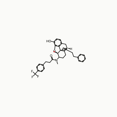 CN(C(=O)CCc1ccc(C(F)(F)F)cc1)C1CC[C@@]2(O)[C@H]3Cc4ccc(O)c5c4[C@@]2(CCN3CCc2ccccc2)C1(C)O5